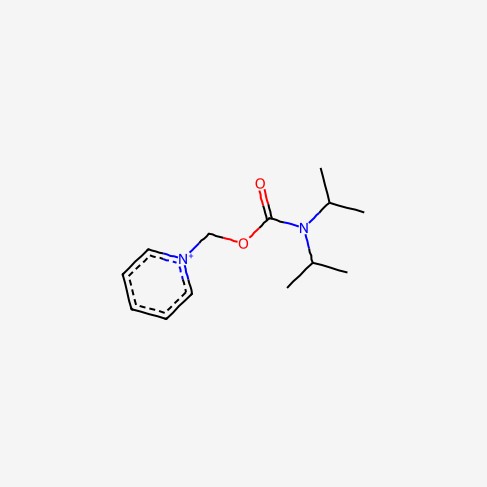 CC(C)N(C(=O)OC[n+]1ccccc1)C(C)C